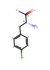 N[C@H](Cc1ccc(Br)cc1)C(=O)I